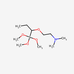 [CH2]CC(OCCN(C)C)[Si](OC)(OC)OC